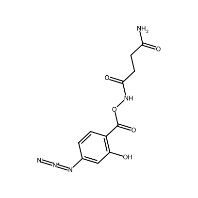 [N-]=[N+]=Nc1ccc(C(=O)ONC(=O)CCC(N)=O)c(O)c1